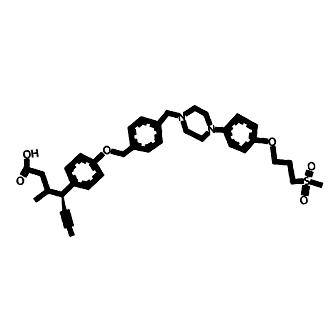 CC#C[C@H](c1ccc(OCc2ccc(CN3CCN(c4ccc(OCCCS(C)(=O)=O)cc4)CC3)cc2)cc1)C(C)CC(=O)O